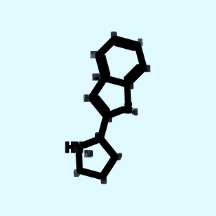 c1ccc2sc(C3CCCN3)cc2c1